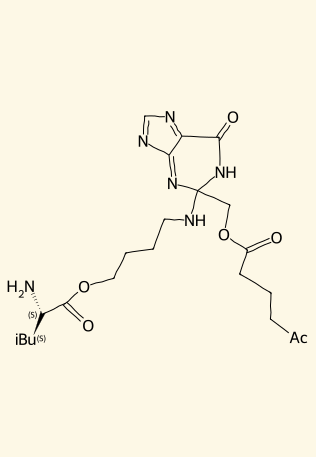 CC[C@H](C)[C@H](N)C(=O)OCCCCNC1(COC(=O)CCCC(C)=O)N=C2N=CN=C2C(=O)N1